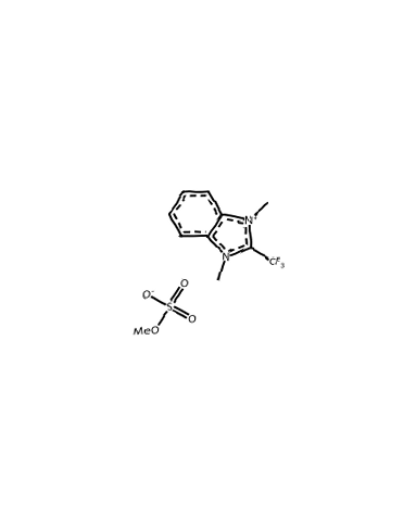 COS(=O)(=O)[O-].Cn1c(C(F)(F)F)[n+](C)c2ccccc21